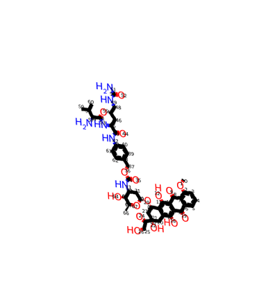 COc1cccc2c1C(=O)c1c(O)c3c(c(O)c1C2=O)C[C@@](O)(C(=O)CO)C[C@@H]3O[C@H]1C[C@H](NC(=O)OCc2ccc(NC(=O)C(CCCNC(N)=O)NC(=O)[C@@H](N)C(C)C)cc2)[C@H](O)[C@H](C)O1